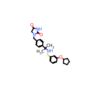 CC(C)(NSc1cccc(OC2CCCC2)c1)c1ccc(CN2CC(=O)NC2=O)cc1